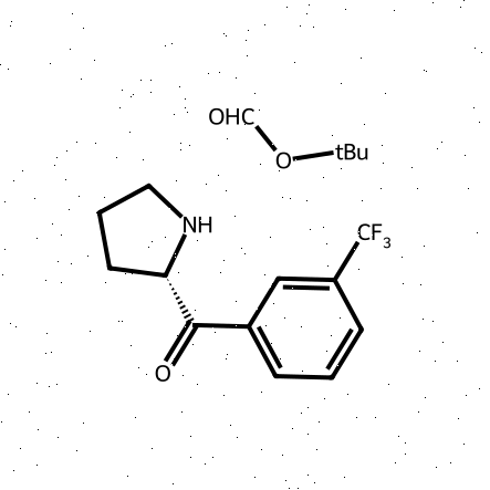 CC(C)(C)OC=O.O=C(c1cccc(C(F)(F)F)c1)[C@@H]1CCCN1